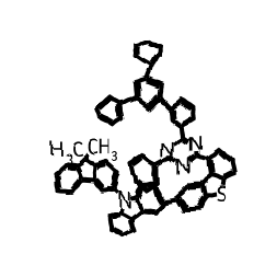 CC1(C)c2ccccc2-c2cc(-n3c4ccccc4c4cc(-c5ccc6sc7cccc(-c8nc(-c9ccccc9)nc(-c9cccc(-c%10cc(-c%11ccccc%11)cc(-c%11ccccc%11)c%10)c9)n8)c7c6c5)ccc43)ccc21